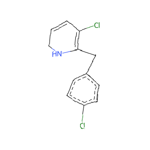 ClC1=C(Cc2ccc(Cl)cc2)NCC=C1